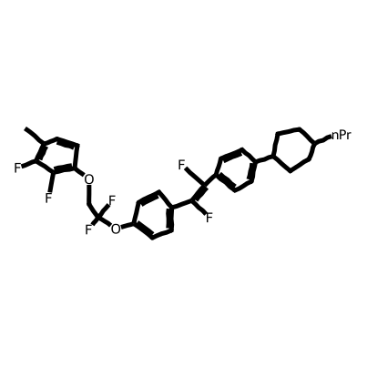 CCCC1CCC(c2ccc(/C(F)=C(\F)c3ccc(OC(F)(F)COc4ccc(C)c(F)c4F)cc3)cc2)CC1